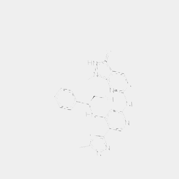 Cc1nnc(-c2cnc(Nc3ncc4c(=O)[nH]n(C)c4n3)cc2N[C@H](CO)c2ccccc2)o1